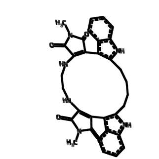 CN1C(=O)C2=C(C1=O)c1c([nH]c3ccccc13)CCCCc1[nH]c3ccccc3c1C1=C(NCCN2)C(=O)N(C)C1=O